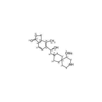 COC1CNCCC12CCN(C[C@H](O)c1ccc3c(c1C)COC3=O)CC2